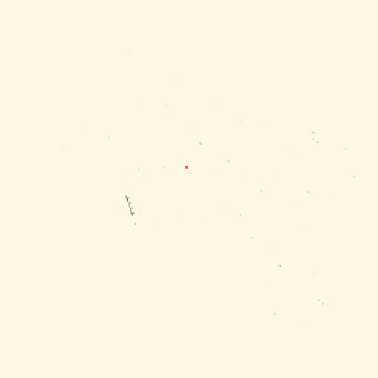 O=P1(c2ccccc2)c2ccccc2C2(c3ccccc3Oc3cc(-c4cc(-c5cccnc5)cc(-c5cccnc5)n4)ccc32)c2cc3c(cc21)oc1ccccc13